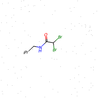 CC(C)CNC(=O)C(Br)Br